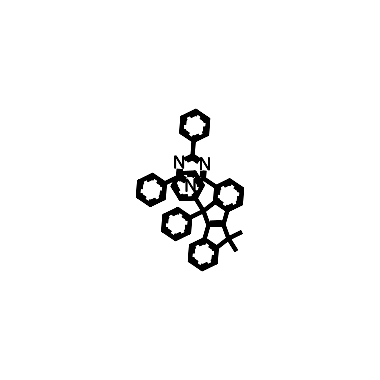 CC1(C)C2=C(c3ccccc31)C(c1ccccc1)(c1ccccc1)c1c2cccc1-c1nc(-c2ccccc2)nc(-c2ccccc2)n1